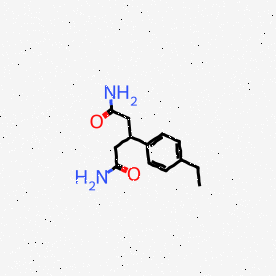 CCc1ccc(C(CC(N)=O)CC(N)=O)cc1